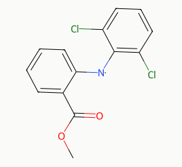 COC(=O)c1ccccc1[N]c1c(Cl)cccc1Cl